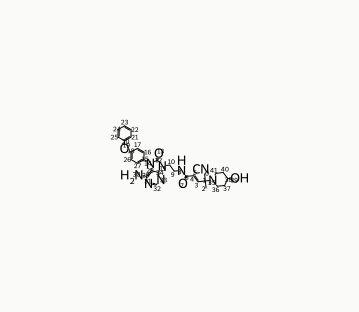 CC(C)(/C=C(\C#N)C(=O)NCCn1c(=O)n(-c2ccc(Oc3ccccc3)cc2)c2c(N)ncnc21)N1CCC(O)CC1